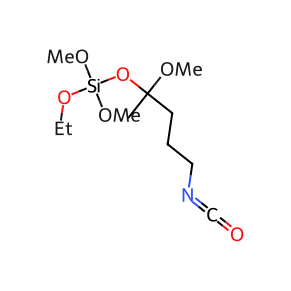 CCO[Si](OC)(OC)OC(C)(CCCN=C=O)OC